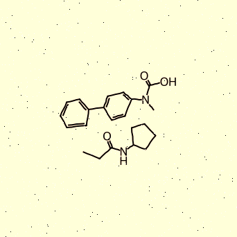 CCC(=O)NC1CCCC1.CN(C(=O)O)c1ccc(-c2ccccc2)cc1